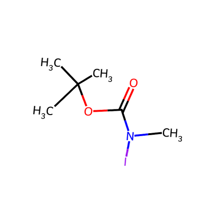 CN(I)C(=O)OC(C)(C)C